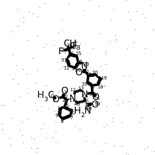 COC(=O)[C@@H](c1ccccc1)N1CCN(C(=O)c2cccc(-c3nc4cc(C(C)(F)F)ccc4o3)c2)[C@H](C(N)=O)C1